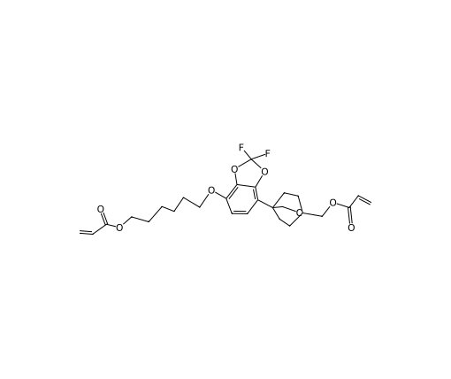 C=CC(=O)OCCCCCCOc1ccc(C23CCC(COC(=O)C=C)(CC2)CC3)c2c1OC(F)(F)O2